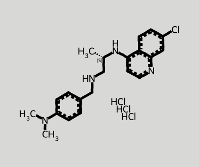 C[C@@H](CNCc1ccc(N(C)C)cc1)Nc1ccnc2cc(Cl)ccc12.Cl.Cl.Cl